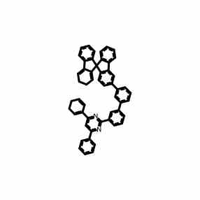 C1=CC(c2cc(-c3ccccc3)nc(-c3cccc(-c4cccc(-c5ccc6c(c5)-c5ccccc5C65C6=CCCC=C6c6ccccc65)c4)c3)n2)=CCC1